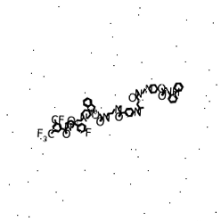 CC(CCC(=O)N(C)CCN1CCC(OC(=O)Nc2ccccc2-c2ccccc2)CC1)N(C)c1ccc(C(=O)N(C)CCCN(C)C(=O)CO[C@H]2Cc3ccccc3C23CCN(CC[C@@]2(c4ccc(F)cc4)CN(C(=O)c4cc(C(F)(F)F)cc(C(F)(F)F)c4)CO2)CC3)cc1